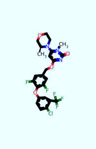 C[C@H]1COCCN1c1cc(OCc2cc(F)c(Oc3ccc(Cl)c(C(F)(F)F)c3)c(F)c2)nc(=O)n1C